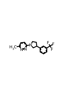 Cc1ccc(N2CCC(c3cccc(C(F)(F)F)c3)C2)nn1